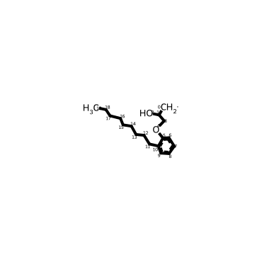 [CH2]C(O)COc1ccccc1CCCCCCCCC